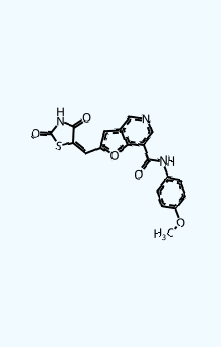 COc1ccc(NC(=O)c2cncc3cc(C=C4SC(=O)NC4=O)oc23)cc1